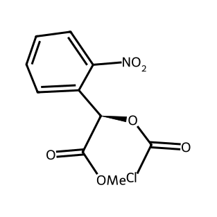 COC(=O)[C@H](OC(=O)Cl)c1ccccc1[N+](=O)[O-]